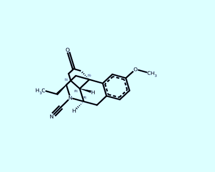 CC[C@H]1CC(=O)C[C@]23CCN(C#N)[C@H](Cc4ccc(OC)cc42)[C@H]13